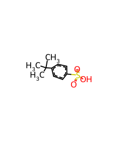 CC(C)(C)c1ccc(S(=O)(=O)O)cc1